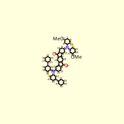 COc1ccc2c(c1)N(c1ccc3c(=O)c4cc5c(cc4c3c1)c(=O)c1ccc(N3c4cc(-c6ccccc6)ccc4Sc4ccc(-c6ccccc6)cc43)cc15)c1cc(OC)ccc1S2